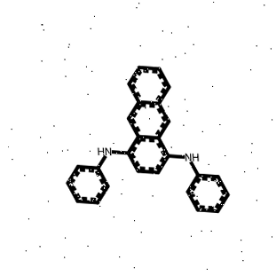 c1ccc(Nc2ccc(Nc3ccccc3)c3cc4ccccc4cc23)cc1